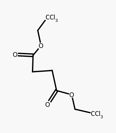 O=C(CCC(=O)OCC(Cl)(Cl)Cl)OCC(Cl)(Cl)Cl